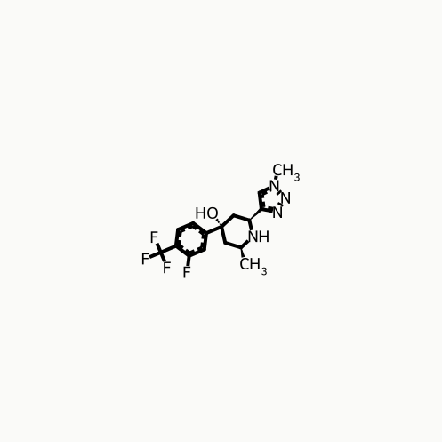 C[C@H]1C[C@@](O)(c2ccc(C(F)(F)F)c(F)c2)C[C@@H](c2cn(C)nn2)N1